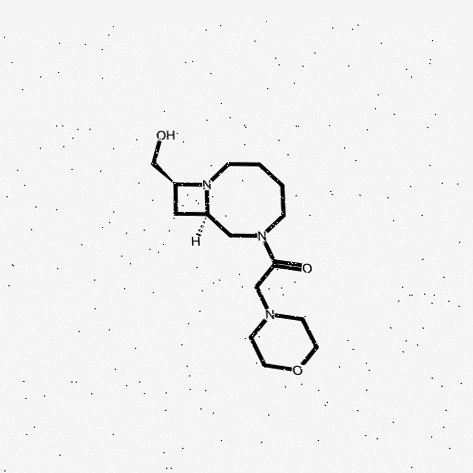 O=C(CN1CCOCC1)N1CCCCN2[C@H](CO)C[C@@H]2C1